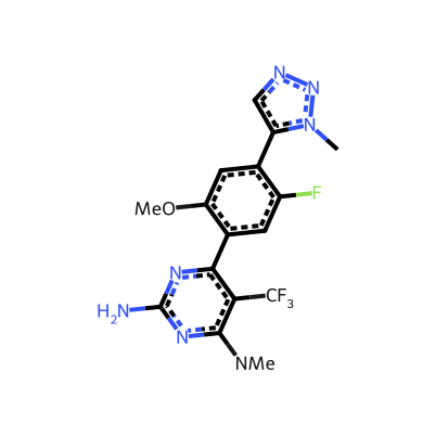 CNc1nc(N)nc(-c2cc(F)c(-c3cnnn3C)cc2OC)c1C(F)(F)F